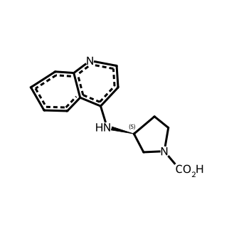 O=C(O)N1CC[C@H](Nc2ccnc3ccccc23)C1